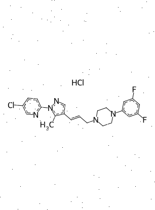 Cc1c(C=CCN2CCN(c3cc(F)cc(F)c3)CC2)cnn1-c1ccc(Cl)cn1.Cl